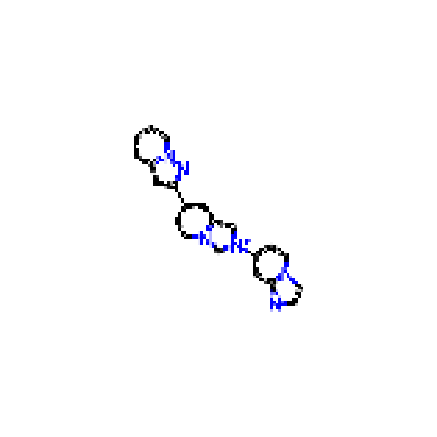 c1ccn2nc(-c3ccn4c[n+](-c5ccn6ccnc6c5)cc4c3)cc2c1